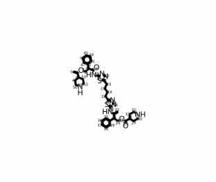 C=C(OCC(C(=O)Nc1nnc(CCCCc2nnc(NC(=C)C(COC(=O)C3CCNCC3)c3ccccc3)s2)s1)c1ccccc1)C1CCNCC1